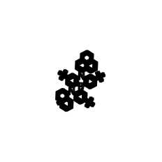 CC(C)(C)c1ccc2c(c1)B1c3ccc(C(C)(C)C)cc3N(c3ccc4c5c(cccc35)CCC4)c3cc(C(C)(C)C)cc(c31)N2C1CCCC2(C)C=CC=CC12